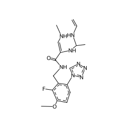 C=CNC(C)N/C(=C\NC)C(=O)NCc1c(-n2cnnn2)ccc(OC)c1F